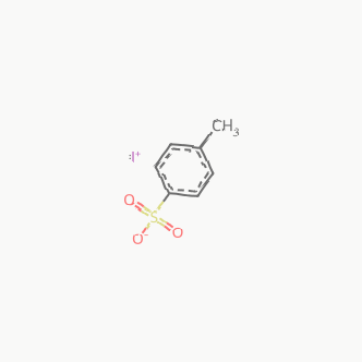 Cc1ccc(S(=O)(=O)[O-])cc1.[I+]